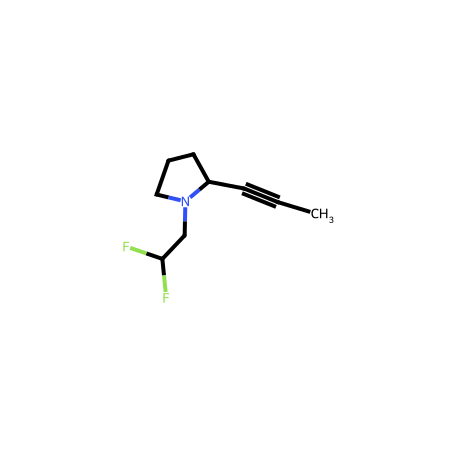 CC#CC1CCCN1CC(F)F